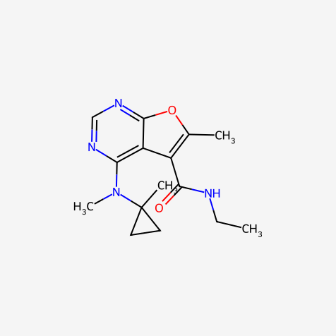 CCNC(=O)c1c(C)oc2ncnc(N(C)C3(C)CC3)c12